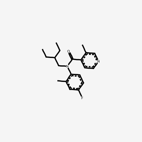 CCC(CC)CN(C(=O)c1ccncc1C)c1ccc(F)cc1C